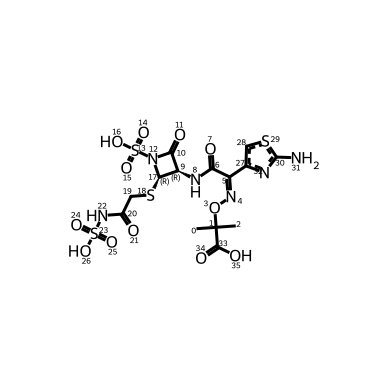 CC(C)(ON=C(C(=O)N[C@@H]1C(=O)N(S(=O)(=O)O)[C@@H]1SCC(=O)NS(=O)(=O)O)c1csc(N)n1)C(=O)O